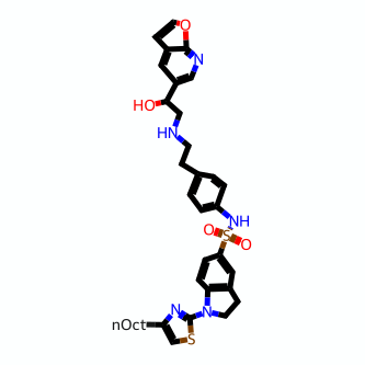 CCCCCCCCc1csc(N2CCc3cc(S(=O)(=O)Nc4ccc(CCNCC(O)c5cnc6occc6c5)cc4)ccc32)n1